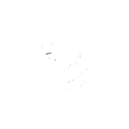 C[C@H](CC(=O)N1C(=O)OC[C@H]1c1ccccc1)c1c(F)cc(Br)cc1F